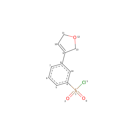 O=S(=O)(Cl)c1cccc(C2=CCOC2)c1